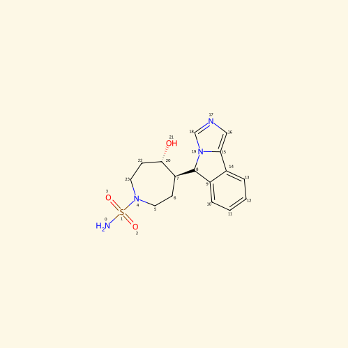 NS(=O)(=O)N1CC[C@H](C2c3ccccc3-c3cncn32)[C@@H](O)CC1